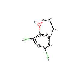 Fc1cc(F)c2c(c1)CCCO2